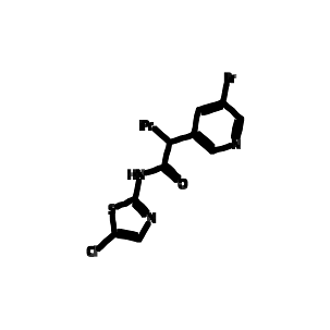 CC(C)C(C(=O)Nc1ncc(Cl)s1)c1cncc(Br)c1